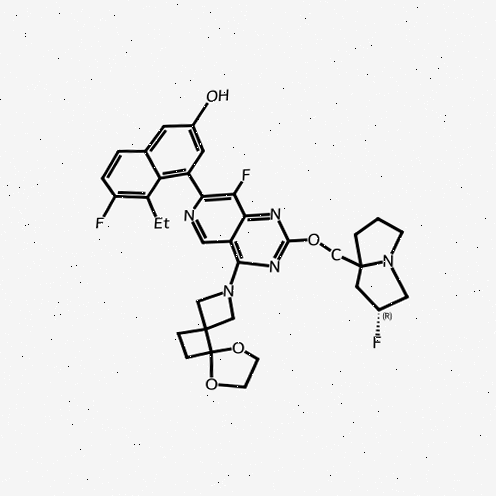 CCc1c(F)ccc2cc(O)cc(-c3ncc4c(N5CC6(CCC67OCCO7)C5)nc(OCC56CCCN5C[C@H](F)C6)nc4c3F)c12